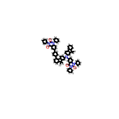 CC1(C)c2ccccc2-c2ccc(N(c3ccc4c(c3)C(C)(C)c3cccc(-c5ccc(-c6ccc7c(c6)c(=O)n(-c6ccccc6)c(=O)n7-c6ccccc6)cc5)c3-4)c3ccc4c(c3)c(=O)n(-c3ccccc3)c(=O)n4-c3ccccc3)cc21